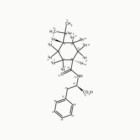 [2H]C1([2H])C([2H])([2H])[C@]([2H])(C([2H])(C)C)C([2H])([2H])C([2H])([2H])[C@@]1([2H])C(=O)N[C@H](Cc1ccccc1)C(=O)O